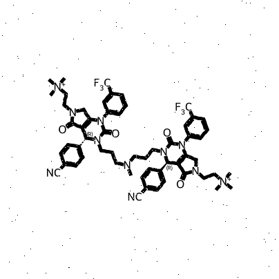 CN(CCCN1C(=O)N(c2cccc(C(F)(F)F)c2)C2=C(C(=O)N(CC[N+](C)(C)C)C2)[C@H]1c1ccc(C#N)cc1)CCCN1C(=O)N(c2cccc(C(F)(F)F)c2)C2=C(C(=O)N(CC[N+](C)(C)C)C2)[C@H]1c1ccc(C#N)cc1